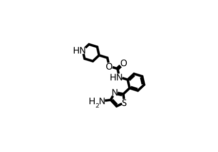 Nc1csc(-c2ccccc2NC(=O)OCC2CCNCC2)n1